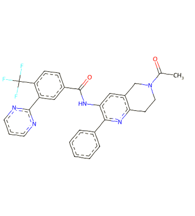 CC(=O)N1CCc2nc(-c3ccccc3)c(NC(=O)c3ccc(C(F)(F)F)c(-c4ncccn4)c3)cc2C1